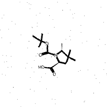 C[C@H]1N(C(=O)OC(C)(C)C)[C@H](C(=O)O)CC1(C)C